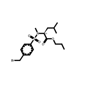 CCCOC(=O)[C@H](CC(C)C)N(C)S(=O)(=O)c1ccc(CBr)cc1